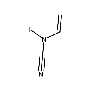 C=CN(I)C#N